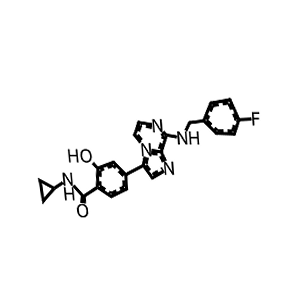 O=C(NC1CC1)c1ccc(-c2cnc3c(NCc4ccc(F)cc4)nccn23)cc1O